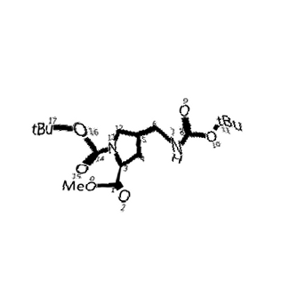 COC(=O)[C@@H]1CC(CNC(=O)OC(C)(C)C)CN1C(=O)OC(C)(C)C